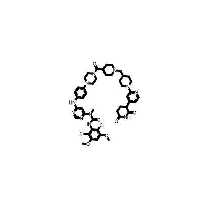 COc1cc(OC)c(Cl)c(NC(=O)N(C)c2cc(Nc3ccc(N4CCN(C(=O)C5CCN(CC6CCN(c7cc(C8CCC(=O)NC8=O)ccn7)CC6)CC5)CC4)cc3)ncn2)c1Cl